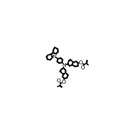 C=C(C)C(=O)Oc1ccc2cc(N(c3ccc(-n4c5ccccc5c5ccccc54)cc3)c3ccc4cc(OC(=O)C(=C)C)ccc4c3)ccc2c1